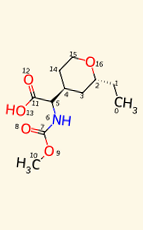 CC[C@@H]1C[C@@H](C(NC(=O)OC)C(=O)O)CCO1